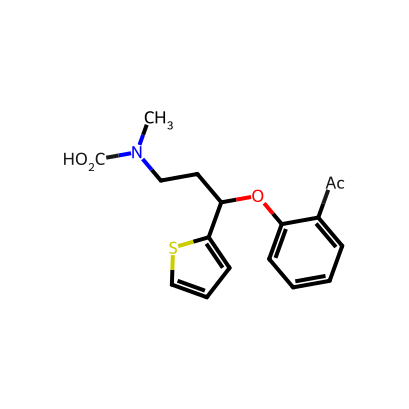 CC(=O)c1ccccc1OC(CCN(C)C(=O)O)c1cccs1